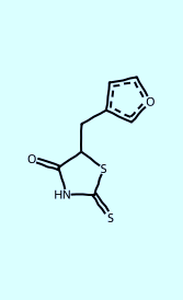 O=C1NC(=S)SC1Cc1ccoc1